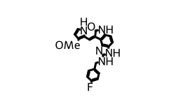 COc1cc[nH]c1C=C1C(=O)Nc2ccc3[nH]c(NCc4ccc(F)cc4)nc3c21